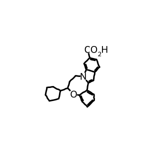 O=C(O)c1ccc2cc3n(c2c1)CCC(C1CCCCC1)Oc1ccccc1-3